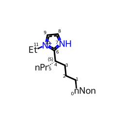 CCCCCCCCCCCC[C@H](CCC)c1[nH]cc[n+]1CC